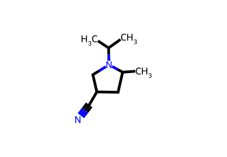 CC(C)N1CC(C#N)CC1C